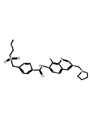 CCCCS(=O)(=O)Cc1ccc(C(=O)Nc2ccc3cc(CN4CCCC4)cnc3c2C)cc1